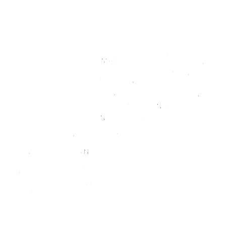 COc1ccc(-c2ccco2)c2[nH]cc(C(=O)N3CCN(C(=O)c4ccccc4)CC3)c12